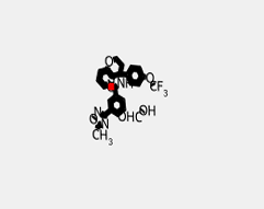 Cc1nc(-c2cccc(C(=O)NC3(c4ccc(OC(F)(F)F)cc4)CCOc4cccnc43)c2)no1.O=CO